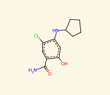 NC(=O)c1cc(Cl)c(NC2CCCC2)cc1O